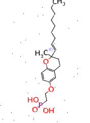 CCCCCCC/C=C/C1(C)CCc2cc(OCCP(=O)(O)O)ccc2O1